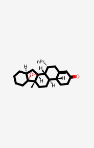 CCC[C@@H]1CC2=CC(=O)CC[C@@H]2[C@H]2CC[C@@]3(C)[C@@H](C[C@@H]4CCCC[C@@]43O)[C@H]12